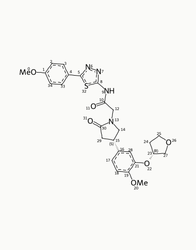 COc1ccc(-c2nnc(NC(=O)CN3C[C@H](c4ccc(OC)c(O[C@@H]5CCOC5)c4)CC3=O)s2)cc1